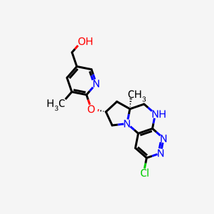 Cc1cc(CO)cnc1O[C@H]1CN2c3cc(Cl)nnc3NC[C@]2(C)C1